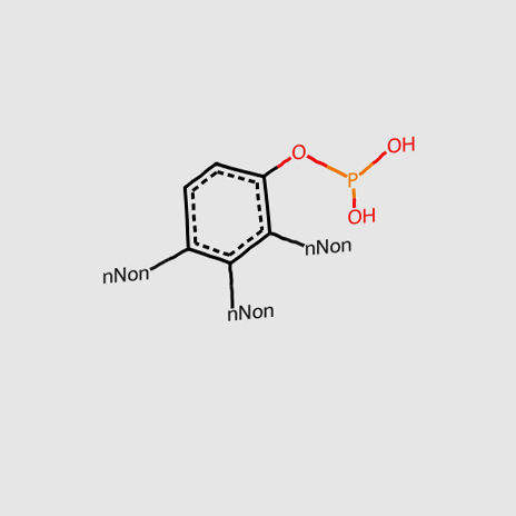 CCCCCCCCCc1ccc(OP(O)O)c(CCCCCCCCC)c1CCCCCCCCC